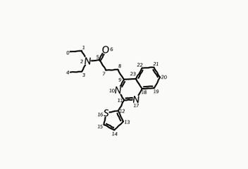 CCN(CC)C(=O)CCc1nc(-c2cccs2)nc2ccccc12